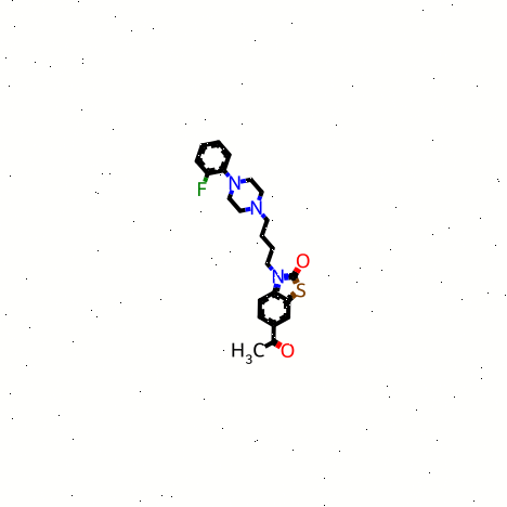 CC(=O)c1ccc2c(c1)sc(=O)n2CCCCN1CCN(c2ccccc2F)CC1